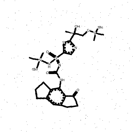 CC(C)(C)[Si](C)(C)NS(=O)(=NC(=O)Nc1c2c(cc3c1C(=O)CC3)CCC2)c1cnc([C@](C)(O)CO[Si](C)(C)C(C)(C)C)s1